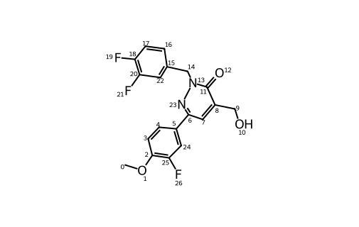 COc1ccc(-c2cc(CO)c(=O)n(Cc3ccc(F)c(F)c3)n2)cc1F